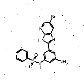 Nc1cc(NS(=O)(=O)c2ccccc2)cc(-c2nc3cc(Br)cnc3[nH]2)c1